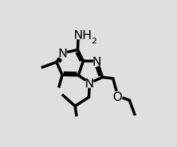 CCOCc1nc2c(N)nc(C)c(C)c2n1CC(C)C